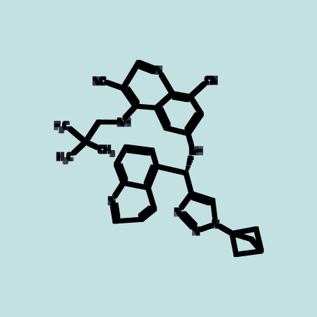 CC(C)(CNc1c(C#N)cnc2c(C#N)cc(N[C@H](c3cn(C45CC(C4)C5)nn3)c3cccc4ncccc34)cc12)C(F)(F)F